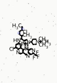 C=C(/C=C\C(Cl)=C/C)[C@H](Nc1cc(Cl)c2ncc(C#N)c(Nc3ccc(C(F)(F)F)nc3)c2c1)C1=CN(C2CCN(C(C)(C)C)CC2)NN1